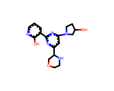 Oc1ncccc1-c1nc(C2COCCN2)cc(N2CCC(O)C2)n1